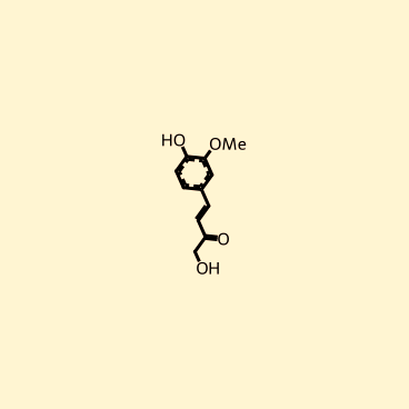 COc1cc(/C=C/C(=O)CO)ccc1O